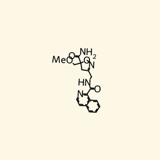 COCC1(C(N)=O)CC(CNC(=O)c2nccc3ccccc23)=NO1